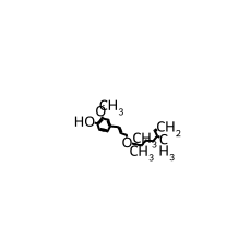 C=CC(C)CCCC(C)(C)OCC=Cc1ccc(O)c(OC)c1